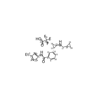 CCc1nsc(NC(=O)c2cccc([C@@H]3C[C@H]3NCC3CC3)c2)n1.O=C(O)C(F)(F)F